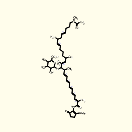 COC1=C(NC(=O)/C(C)=C/C=C/C=C/C=C/C=C/C(C)C(OC2OC(C(=O)O)C(O)C(O)C2O)/C(C)=C/C(C)CCC/C=C/C(C)C/C=C/CCCN(C)C(=N)N)C(=O)CC1